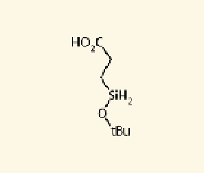 CC(C)(C)O[SiH2]CCC(=O)O